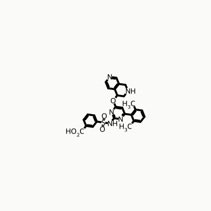 Cc1cccc(C)c1-c1cc(OC2CNCc3cnccc32)nc(NS(=O)(=O)c2cccc(C(=O)O)c2)n1